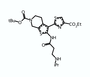 CCOC(=O)c1csc(-c2c(NC(=O)CCNC(C)C)sc3c2CCN(C(=O)OC(C)(C)C)C3)n1